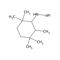 CCCNC1C(C)C(C)(C)CCC1(C)C